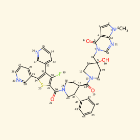 Cn1ccc2c(=O)n(CC3(O)CCN(C(=O)[C@@H]4CCN(C(=O)c5sc(-c6cccnc6)c(-c6cccnc6)c5F)C[C@H]4c4ccccc4)CC3)cnc21